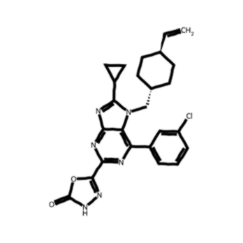 C=C[C@H]1CC[C@H](Cn2c(C3CC3)nc3nc(-c4n[nH]c(=O)o4)nc(-c4cccc(Cl)c4)c32)CC1